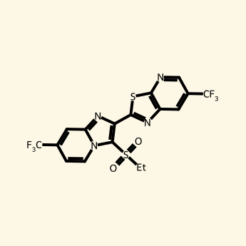 CCS(=O)(=O)c1c(-c2nc3cc(C(F)(F)F)cnc3s2)nc2cc(C(F)(F)F)ccn12